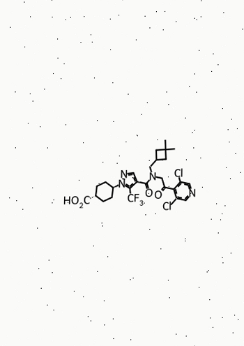 CC1(C)CC(CN(CC(=O)c2c(Cl)cncc2Cl)C(=O)c2cnn([C@H]3CC[C@H](C(=O)O)CC3)c2C(F)(F)F)C1